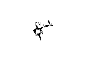 CN(C)C=Nc1nc(I)ncc1C#N